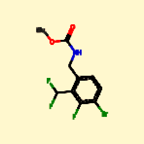 CC(C)(C)OC(=O)NCc1ccc(Br)c(F)c1C(F)F